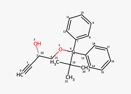 C#C[C@H](O)CO[Si](c1ccccc1)(c1ccccc1)C(C)(C)C